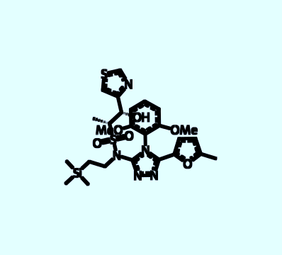 COc1cccc(OC)c1-n1c(-c2ccc(C)o2)nnc1N(CC[Si](C)(C)C)S(=O)(=O)[C@H](C)[C@@H](O)c1cscn1